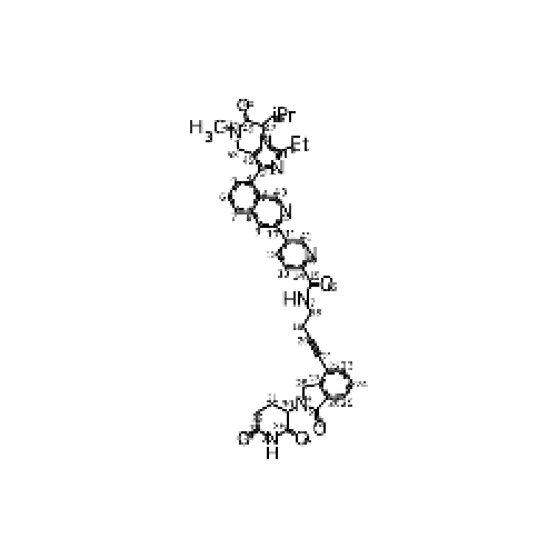 CCc1nc(-c2cccc3cc(-c4ccc(C(=O)NCCC#Cc5cccc6c5CN(C5CCC(=O)NC5=O)C6=O)nc4)ncc23)c2n1C(C(C)C)C(=O)N(C)C2